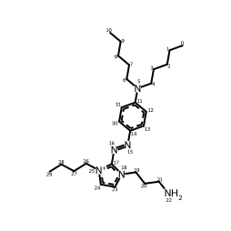 CCCCCN(CCCCC)c1ccc(/N=N/c2n(CCCN)cc[n+]2CCCC)cc1